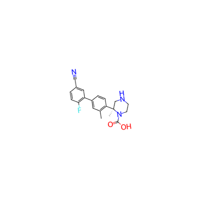 Cc1cc(-c2cc(C#N)ccc2F)ccc1[C@@]1(C)CNCCN1C(=O)O